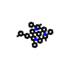 Cc1cccc(-c2ccc(-c3cc(-c4ccccc4)ncc3-c3ccccc3-c3cc(-c4ccccc4-c4cnc(-c5ccccc5)cc4C)cc(-c4ccccc4-c4cnc(-c5ccccc5)cc4C)c3)cc2)c1